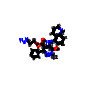 CCn1nc(-c2ccccc2)c(C(=O)OCCN)c(Nc2cccc3ncccc23)c1=O